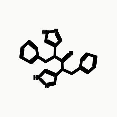 O=C(C(Cc1ccccc1)c1cn[nH]c1)C(Cc1ccccc1)c1cn[nH]c1